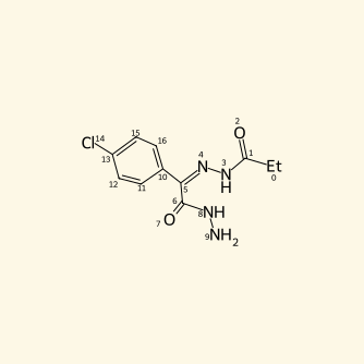 CCC(=O)NN=C(C(=O)NN)c1ccc(Cl)cc1